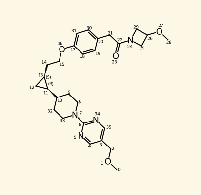 COCc1cnc(N2CCC([C@H]3C[C@H]3CCOc3ccc(CC(=O)N4CC(OC)C4)cc3)CC2)nc1